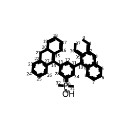 C/C=c1/cc2ccccc2c(-c2cc(C3=C4C=CC=CC4Cc4ccccc43)cc([PH](C)(C)O)c2)/c1=C/C